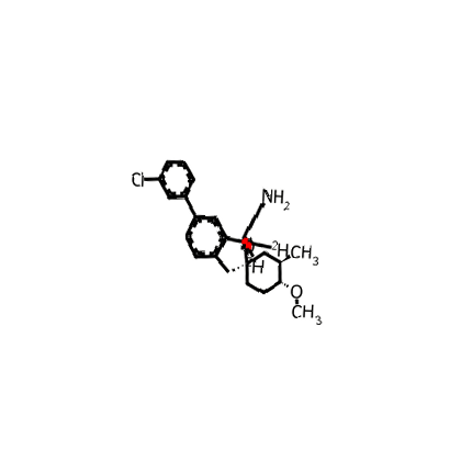 [2H]C1([2H])OC(N)=N[C@]12c1cc(-c3cccc(Cl)c3)ccc1C[C@]21CC[C@@H](OC)[C@H](C)C1